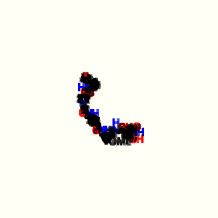 COc1ccc(CNC(=O)Cc2ccc(CNC(=O)CCN3CCC(OC(=O)Nc4ccccc4-c4ccccc4)CC3)cc2)cc1CC(C)NC[C@@H](O)c1ccc(O)c2[nH]c(=O)ccc12